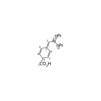 CCCN(C=C1C=CC(C(=O)O)C=C1)CCC